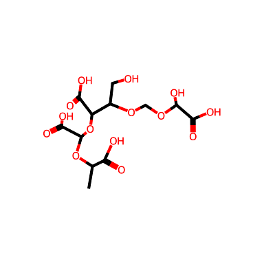 CC(OC(OC(C(=O)O)C(CO)OCOC(O)C(=O)O)C(=O)O)C(=O)O